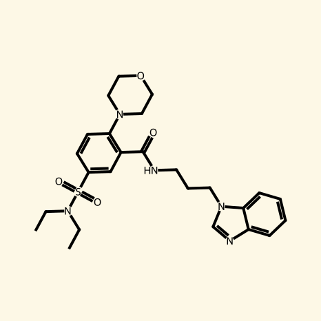 CCN(CC)S(=O)(=O)c1ccc(N2CCOCC2)c(C(=O)NCCCn2cnc3ccccc32)c1